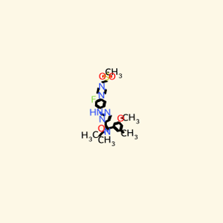 COc1cc(C)cc(-c2nc(C(C)C)oc2-c2ccnc(Nc3ccc(N4CCN(CCS(C)(=O)=O)CC4)c(F)c3)n2)c1